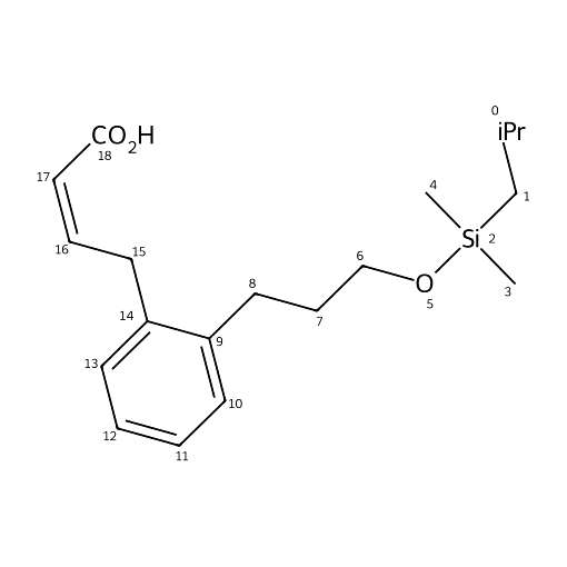 CC(C)C[Si](C)(C)OCCCc1ccccc1C/C=C\C(=O)O